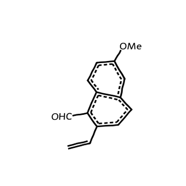 C=Cc1ccc2cc(OC)ccc2c1C=O